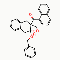 O=CC1(C(=O)c2cccc3ccccc23)Cc2ccccc2CC1(O)OCc1ccccc1